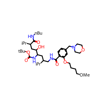 CCCCNC(=O)C(CC(O)C(CC(CNC(=O)c1ccc(CN2CCOCC2)cc1OCCCCOC)C(C)C)NC(=O)OC(C)(C)C)C(C)C